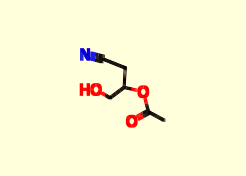 CC(=O)OC(CO)CC#N